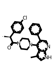 [CH2][C@H](C(=O)N1CCN(c2c(-c3ccccc3)cnc3[nH]cc(C)c23)CC1)c1ccc(Cl)cc1